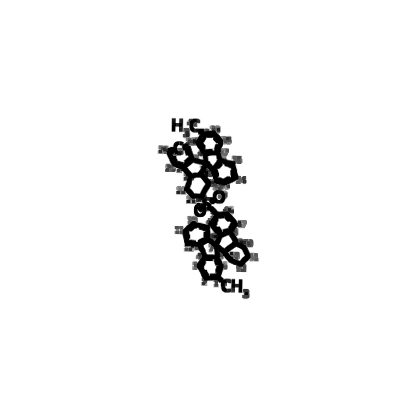 Cc1ccc2c(c1)C1(c3ccccc3-2)c2cc(S(=O)(=O)[C@@H]3CCC4c5ccccc5C5(c6ccccc6-c6ccc(C)cc65)C4C3)ccc2C2CCCCC21